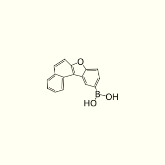 OB(O)c1ccc2oc3ccc4ccccc4c3c2c1